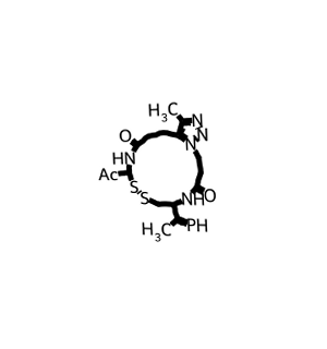 CC(=O)C1NC(=O)CCc2c(C)nnn2CCC(=O)NC(C(C)=P)CSS1